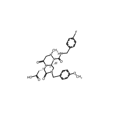 COc1ccc(CN2C[C@H]3N(C(=O)CN(C)N3C(=O)NCc3ccc(F)cc3)[C@@H](CC(=O)O)C2=O)cc1